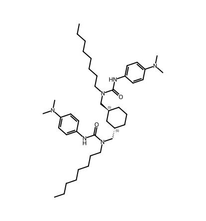 CCCCCCCCN(C[C@H]1CCC[C@H](CN(CCCCCCCC)C(=O)Nc2ccc(N(C)C)cc2)C1)C(=O)Nc1ccc(N(C)C)cc1